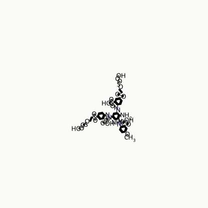 COc1ccc(/N=N/c2c(N)c(/N=N/c3ccc(S(=O)(=O)CCOSOOO)cc3S(=O)(=O)O)cc(/N=N/c3ccc(S(=O)(=O)CCOSOOO)cc3S(=O)(=O)O)c2N)c(S(=O)(=O)O)c1